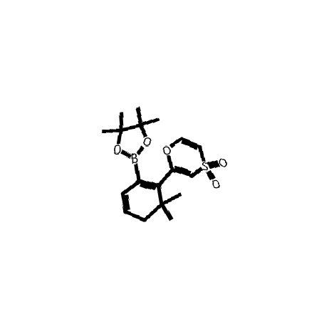 CC1(C)CC=CC(B2OC(C)(C)C(C)(C)O2)=C1C1=CS(=O)(=O)C=CO1